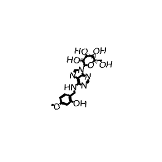 COc1ccc(CNc2ncnc3c2ncn3C2O[C@H](CO)[C@@H](O)[C@H](O)[C@H]2O)c(O)c1